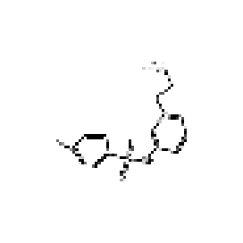 CCOC(=O)COc1cccc(NS(=O)(=O)c2ccc(F)cc2)c1